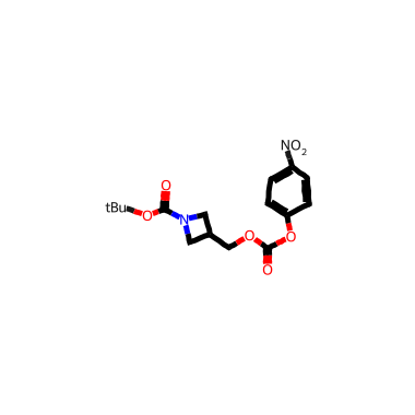 CC(C)(C)OC(=O)N1CC(COC(=O)Oc2ccc([N+](=O)[O-])cc2)C1